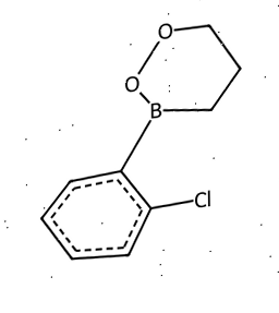 Clc1ccccc1B1CCCOO1